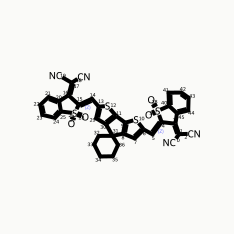 N#CC(C#N)=C1/C(=C/c2cc3c(s2)-c2sc(/C=C4/C(=C(C#N)C#N)c5ccccc5S4(=O)=O)cc2C32CCCCC2)S(=O)(=O)c2ccccc21